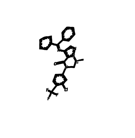 C[C@H]1CN(c2ccc(C(F)(F)F)c(Cl)c2)C(=O)c2c(N=C(c3ccccc3)c3ccccc3)cnn21